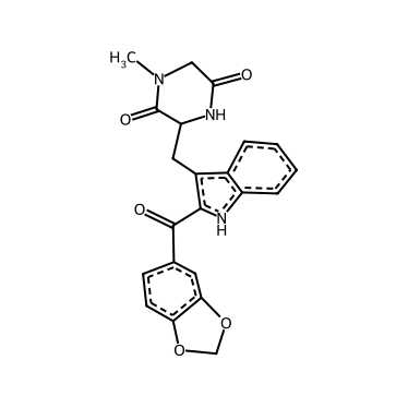 CN1CC(=O)NC(Cc2c(C(=O)c3ccc4c(c3)OCO4)[nH]c3ccccc23)C1=O